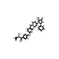 Cc1nc(Oc2ccc(C(=O)NC3CC3)cc2)ccc1CN1CCC(N2C(=O)C(C)C[C@H]2c2ccccc2)CC1